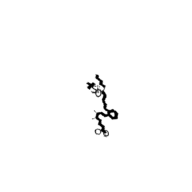 CCCCC[C@H](/C=C/C=C/c1ccccc1/C=C/[C@@H](C)[C@@H](C)CCCC(=O)OC)O[Si](C)(C)C(C)(C)C